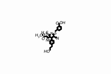 COC(=O)c1c(N)c2c(-c3ccc(CCCO)cc3)c(C#N)c(SCc3cccc(C(=O)O)c3)nc2n1C